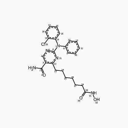 NC(=O)c1cnc(N(c2ccccc2)c2ccccc2Cl)nc1CCCCCCC(=O)NO